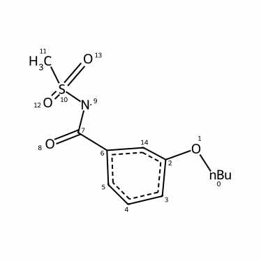 CCCCOc1cccc(C(=O)[N]S(C)(=O)=O)c1